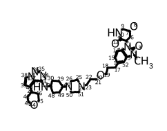 Cn1c(=O)n(C2CC(=O)CNC2=O)c2ccc(CCCOCCCN3CCN(C4CCC(Nc5ncnn6ccc(C7CCOCC7)c56)CC4)CC3)cc21